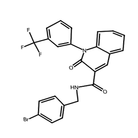 O=C(NCc1ccc(Br)cc1)c1cc2ccccc2n(-c2cccc(C(F)(F)F)c2)c1=O